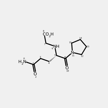 NC(=O)CC[C@H](NCC(=O)O)C(=O)N1CCCC1